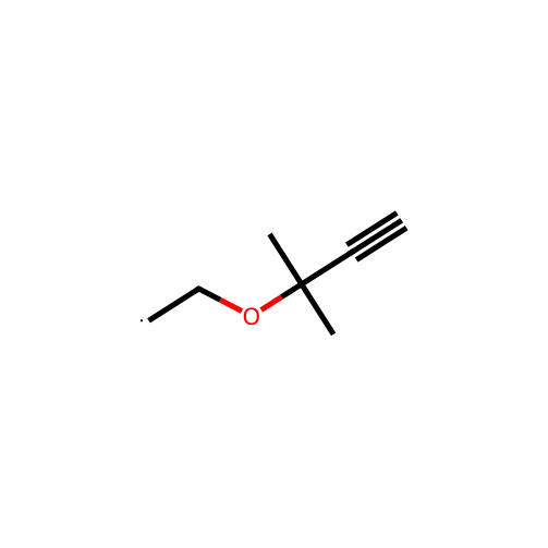 C#CC(C)(C)OC[CH2]